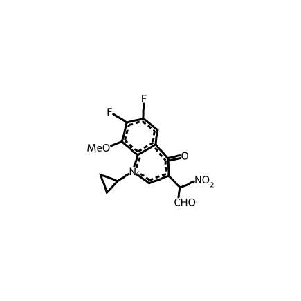 COc1c(F)c(F)cc2c(=O)c(C([C]=O)[N+](=O)[O-])cn(C3CC3)c12